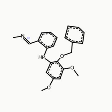 C/N=C/c1ccccc1Pc1cc(OC)cc(OC)c1OCc1ccccc1